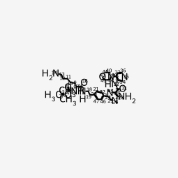 CC(C)(C)OC(=O)N[C@@H](CCCCCN)C(=O)NCCc1ccc(-c2cnc(N)c(C(=O)Nc3cnccc3N3CCOCC3)n2)cc1